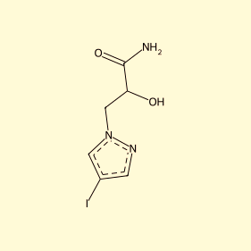 NC(=O)C(O)Cn1cc(I)cn1